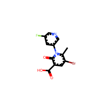 Cc1c(Br)cc(C(=O)O)c(=O)n1-c1cncc(F)c1